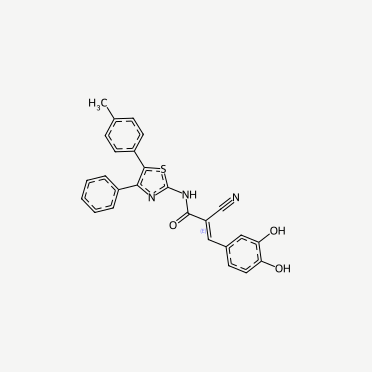 Cc1ccc(-c2sc(NC(=O)/C(C#N)=C/c3ccc(O)c(O)c3)nc2-c2ccccc2)cc1